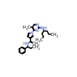 C=C(NC(CC)c1ccccc1)c1ccn(-c2nc(NC(CCC)CCC)ncc2C)c1